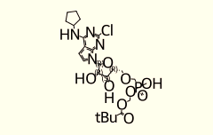 CC(C)(C)C(=O)OCOP(=O)(O)COC[C@H]1O[C@@H](n2ccc3c(NC4CCCC4)nc(Cl)nc32)[C@H](O)[C@@H]1O